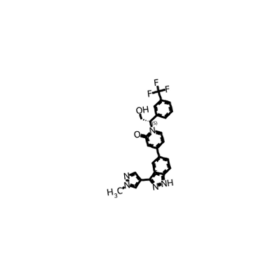 Cn1cc(-c2n[nH]c3ccc(-c4ccn([C@H](CO)c5cccc(C(F)(F)F)c5)c(=O)c4)cc23)cn1